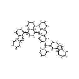 c1ccc(N(c2ccc3c(c2)Sc2ccccc2N3c2ccc(-c3cccc4c3oc3ccccc34)c3ccccc23)c2ccc3oc4ccccc4c3c2)cc1